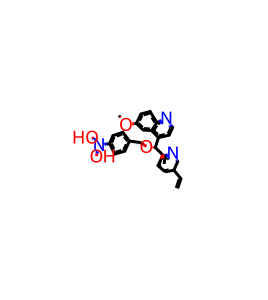 C=CC1CN2CCC1CC2[C@@H](OCc1ccc(N(O)O)cc1)c1ccnc2ccc(OC)cc12